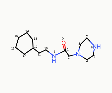 O=C(CN1CCNCC1)NCCC1CCCCC1